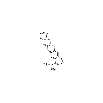 CC(C)(C)P(c1cccc2cc3cc4cc5ccccc5cc4cc3cc12)C(C)(C)C